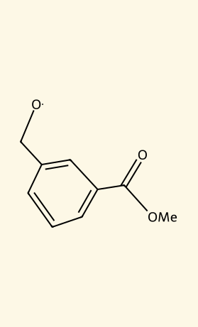 COC(=O)c1cccc(C[O])c1